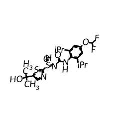 CC(C)c1cc(OC(F)F)cc(C(C)C)c1NC(=O)N=[SH](=O)c1ncc(C(C)(C)O)s1